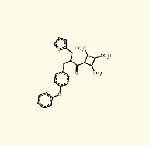 O=C(O)C1C(C(=O)O)C(C(=O)N(Cc2ccc(Oc3ccccc3)cc2)Cc2cccs2)C1C(=O)O